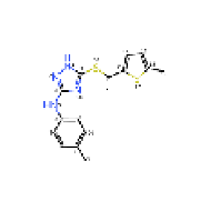 Cc1ccc(Nc2n[nH]c(SCc3ccc(C)s3)n2)cc1